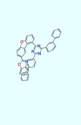 c1ccc(-c2ccc(-c3nc(-c4cccc(-c5ccccc5)c4)nc(-c4cccc5oc6ccc(-c7nc8ccccc8o7)cc6c45)n3)cc2)cc1